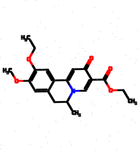 CCOC(=O)c1cn2c(cc1=O)-c1cc(OCC)c(OC)cc1CC2C